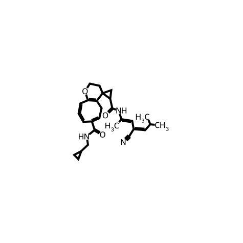 C/C(=C\C(C#N)=C/C(C)C)NC(=O)C1CC12CCOC1=C2C/C=C(/C(=O)NCC2CC2)C=C=C1